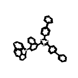 c1ccc(-c2ccc(-c3nc(-c4ccc(-c5ccccc5)cc4)nc(-c4ccc(-n5c6cccc7ccc8cccc5c8c76)c5ccccc45)n3)cc2)cc1